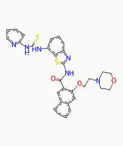 O=C(Nc1nc2cccc(NC(=S)Nc3ccccn3)c2s1)c1cc2ccccc2cc1OCCN1CCOCC1